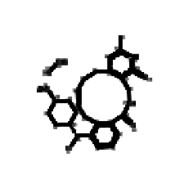 CCN(c1cccc2c1C/C=C\CCc1cc(C)[nH]c(=O)c1CNC2=O)[C@H]1CC[C@H](NC)CC1.O=CO